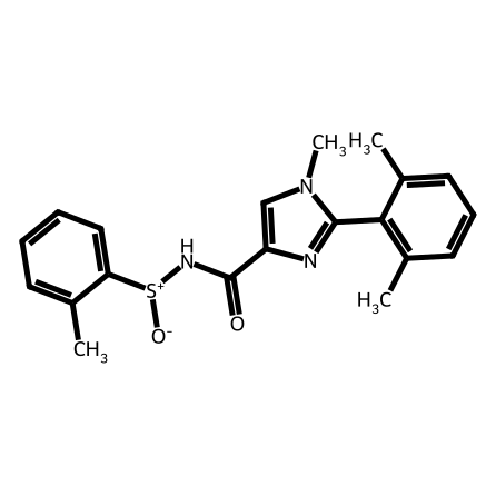 Cc1ccccc1[S+]([O-])NC(=O)c1cn(C)c(-c2c(C)cccc2C)n1